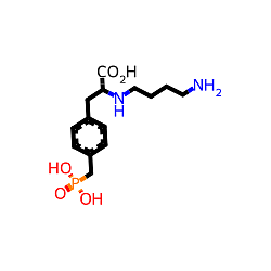 NCCCCNC(Cc1ccc(CP(=O)(O)O)cc1)C(=O)O